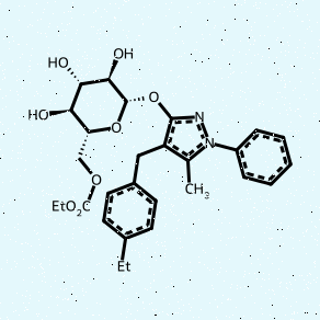 CCOC(=O)OC[C@H]1O[C@@H](Oc2nn(-c3ccccc3)c(C)c2Cc2ccc(CC)cc2)[C@H](O)[C@@H](O)[C@@H]1O